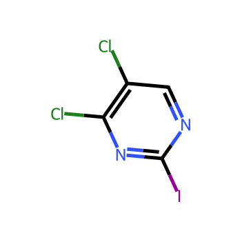 Clc1cnc(I)nc1Cl